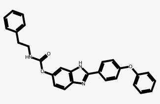 O=C(NCCc1ccccc1)Oc1ccc2nc(-c3ccc(Oc4ccccc4)cc3)[nH]c2c1